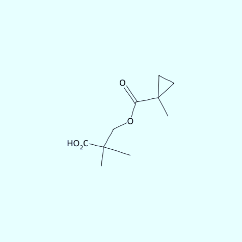 CC(C)(COC(=O)C1(C)CC1)C(=O)O